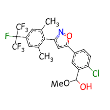 COC(O)c1cc(-c2cc(-c3c(C)cc(C(F)(C(F)(F)F)C(F)(F)F)cc3C)no2)ccc1Cl